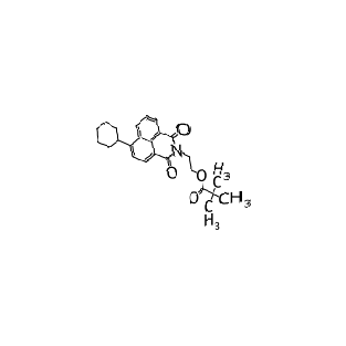 CC(C)(C)C(=O)OCCN1C(=O)c2cccc3c(C4CCCCC4)ccc(c23)C1=O